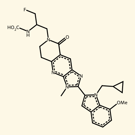 COc1cccc2cc(-c3nc4cc5c(nc4n3C)CCN(CC(CF)NC(=O)O)C5=O)n(CC3CC3)c12